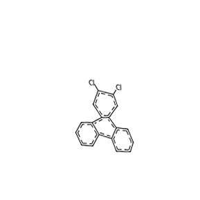 Clc1cc2c3ccccc3c3ccccc3c2cc1Cl